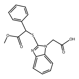 COC(=O)C(Sc1nc2ccccc2n1CC(=O)O)c1ccccc1